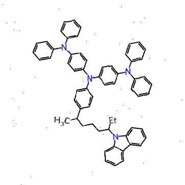 CCC(CCCC(C)c1ccc(N(c2ccc(N(c3ccccc3)c3ccccc3)cc2)c2ccc(N(c3ccccc3)c3ccccc3)cc2)cc1)n1c2ccccc2c2ccccc21